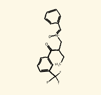 CCC(C[N+]([O-])=Cc1ccccc1)C(=O)c1cccc(C(F)(F)F)c1